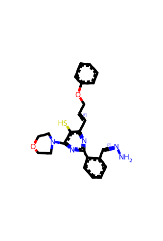 N/N=C\c1ccccc1-c1nc(/C=C/COc2ccccc2)c(S)c(N2CCOCC2)n1